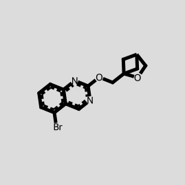 Brc1cccc2nc(OCC34CC(CO3)C4)ncc12